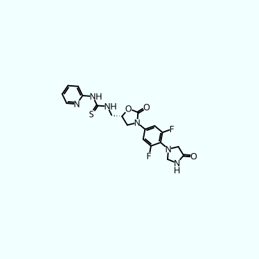 O=C1CN(c2c(F)cc(N3C[C@H](CNC(=S)Nc4ccccn4)OC3=O)cc2F)CN1